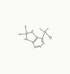 CCC(C)(C)c1cccc2c1OC(F)(F)O2